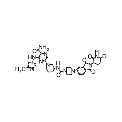 Cc1cc(Nc2nc(N3CCC[C@@H](NC(=O)N4CCN(c5ccc6c(c5)C(=O)N(C5CCC(=O)NC5=O)C6=O)CC4)C3)cnc2C(N)=O)sn1